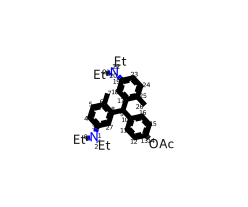 CCN(CC)c1ccc(C)c(C(c2ccc(OC(C)=O)cc2)c2cc(N(CC)CC)ccc2C)c1